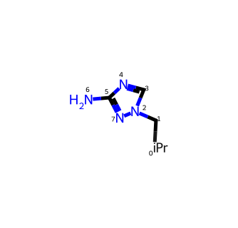 CC(C)Cn1cnc(N)n1